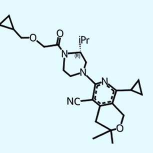 CC(C)[C@@H]1CN(c2nc(C3CC3)c3c(c2C#N)CC(C)(C)OC3)CCN1C(=O)COCC1CC1